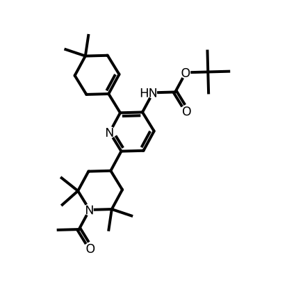 CC(=O)N1C(C)(C)CC(c2ccc(NC(=O)OC(C)(C)C)c(C3=CCC(C)(C)CC3)n2)CC1(C)C